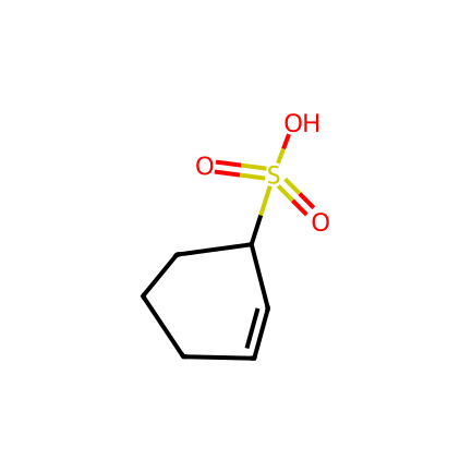 O=S(=O)(O)C1C=CCCC1